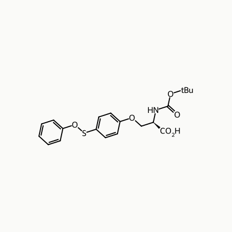 CC(C)(C)OC(=O)N[C@H](COc1ccc(SOc2ccccc2)cc1)C(=O)O